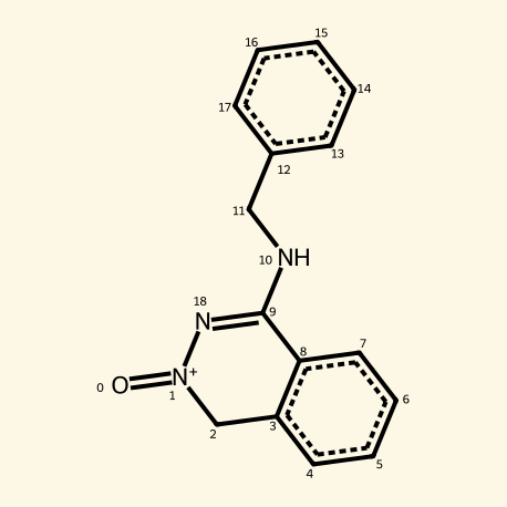 O=[N+]1Cc2ccccc2C(NCc2ccccc2)=N1